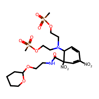 CS(=O)(=O)OCCN(CCOS(C)(=O)=O)C1C=CC([N+](=O)[O-])=CC1(C(=O)NCCOC1CCCCO1)[N+](=O)[O-]